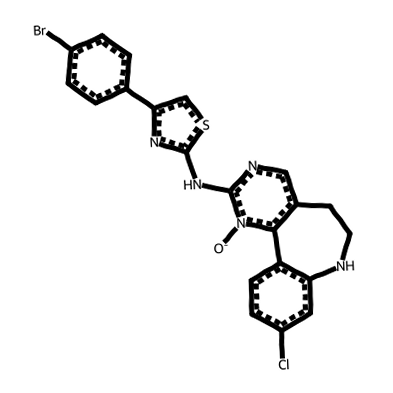 [O-][n+]1c(Nc2nc(-c3ccc(Br)cc3)cs2)ncc2c1-c1ccc(Cl)cc1NCC2